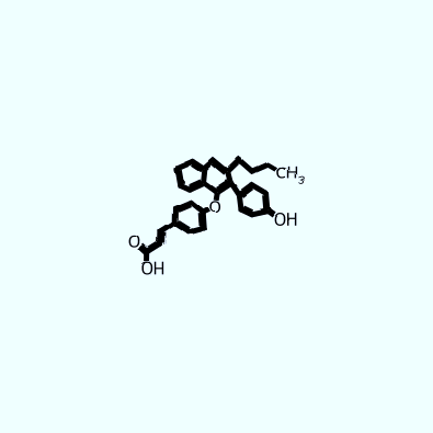 CCCCc1cc2ccccc2c(Oc2ccc(/C=C/C(=O)O)cc2)c1-c1ccc(O)cc1